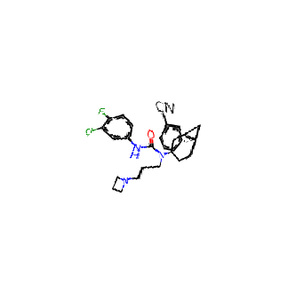 N#Cc1cccc([C@]23CC[C@@H](N(CCCN4CCC4)C(=O)Nc4ccc(F)c(Cl)c4)CC2C3)c1